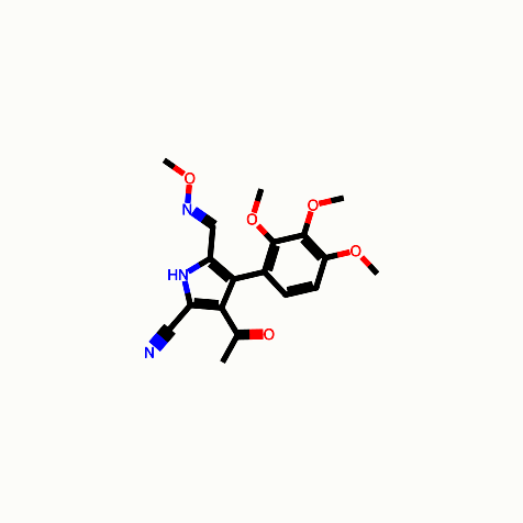 CO/N=C/c1[nH]c(C#N)c(C(C)=O)c1-c1ccc(OC)c(OC)c1OC